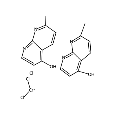 Cc1ccc2c(O)ccnc2n1.Cc1ccc2c(O)ccnc2n1.[Cl-].[Cl][Cr+][Cl]